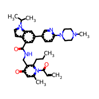 C=CC(=O)n1c(C)cc(=O)c(CNC(=O)c2cc(-c3ccc(N4CCN(C)CC4)nc3)cc3c2ccn3C(C)C)c1CCC